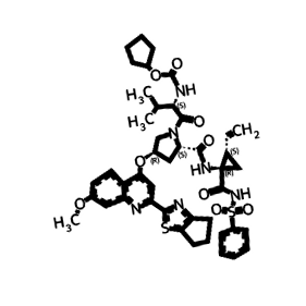 C=C[C@@H]1C[C@]1(NC(=O)[C@@H]1C[C@@H](Oc2cc(-c3nc4c(s3)CCC4)nc3cc(OC)ccc23)CN1C(=O)[C@@H](NC(=O)OC1CCCC1)C(C)C)C(=O)NS(=O)(=O)c1ccccc1